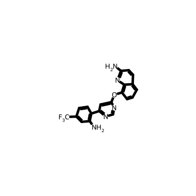 Nc1ccc2cccc(Oc3cc(-c4ccc(C(F)(F)F)cc4N)ncn3)c2n1